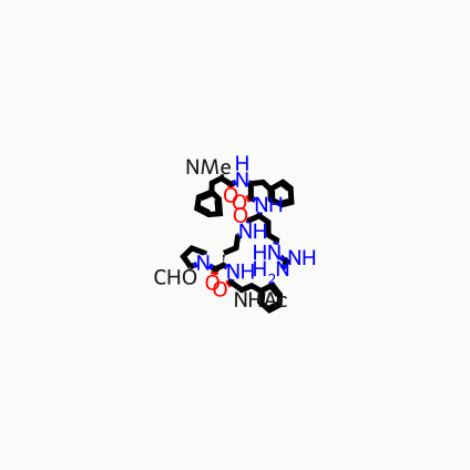 CN[C@H](Cc1ccccc1)C(=O)NC(Cc1ccccc1)C(=O)NC(CCCNC(=N)N)C(=O)NCCC[C@H](NC(=O)[C@H](Cc1ccccc1)NC(C)=O)C(=O)N1CCCC1C=O